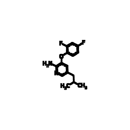 CC(C)Cc1cnc(N)c(Oc2ccc(F)cc2F)c1